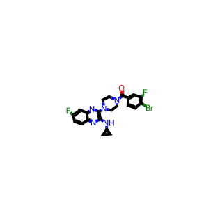 O=C(c1ccc(Br)c(F)c1)N1CCN(c2nc3cc(F)ccc3nc2NC2CC2)CC1